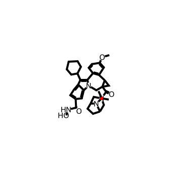 COc1ccc2c(c1)C1CC1(C(=O)N1CC3CCC(C1)N3C(C)C)Cn1c-2c(C2CCCCC2)c2ccc(C(=O)NO)cc21